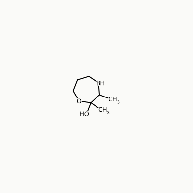 CC1BCCCOC1(C)O